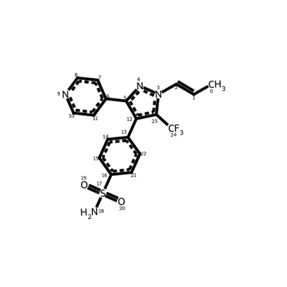 CC=Cn1nc(-c2ccncc2)c(-c2ccc(S(N)(=O)=O)cc2)c1C(F)(F)F